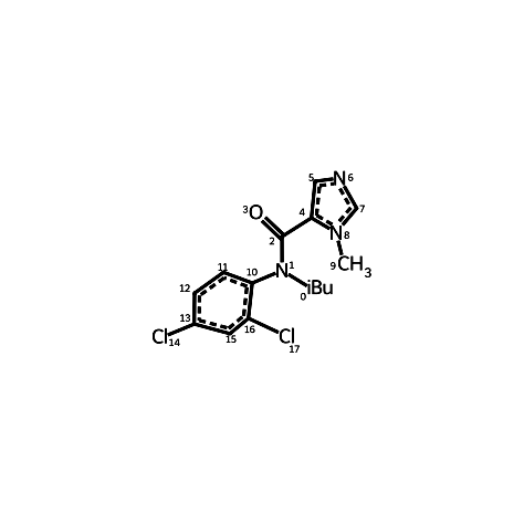 CCC(C)N(C(=O)c1cncn1C)c1ccc(Cl)cc1Cl